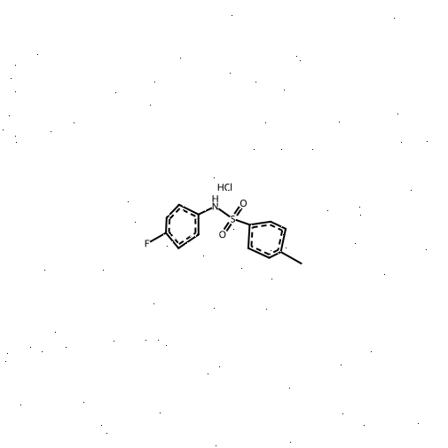 Cc1ccc(S(=O)(=O)Nc2ccc(F)cc2)cc1.Cl